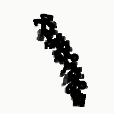 Cc1ccc2c(=O)n([C@H](C)CN3CCN(C(=O)OC(C)(C)C)CC3)ccc2c1NC(=O)Cc1ccc(C(F)(F)F)c(F)c1